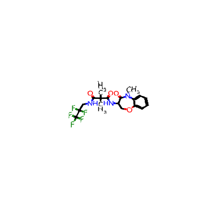 CN1C(=O)C(NC(=O)C(C)(C)C(=O)NCC(F)(F)C(F)(F)F)COc2ccccc21